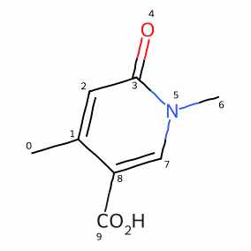 Cc1cc(=O)n(C)cc1C(=O)O